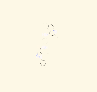 Cc1c(C(=O)N[C@H]2CC[C@@H](Nc3cc(C(F)(F)F)nc4ccc(Cl)cc34)CC2)cnn1-c1ccc(Cl)cc1